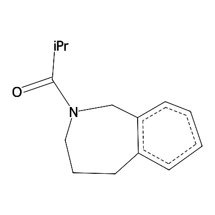 CC(C)C(=O)N1CCCc2ccccc2C1